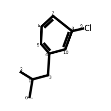 [CH2]C(C)Cc1cccc(Cl)c1